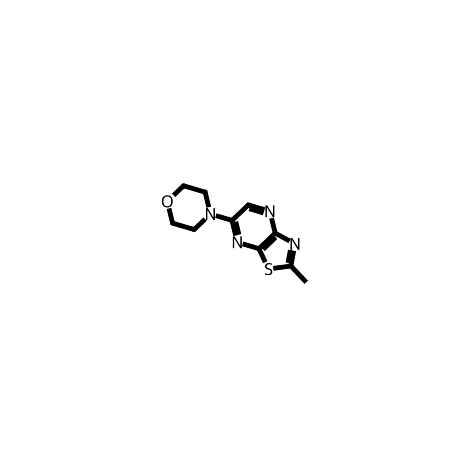 Cc1nc2ncc(N3CCOCC3)nc2s1